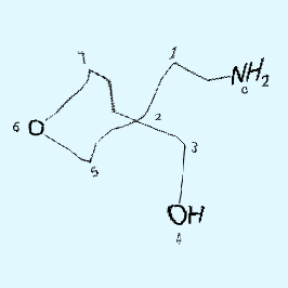 NCC1(CO)COC1